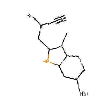 C#CC(CC1PC2CC(C(C)(C)C)CCC2C1C)C(C)(C)C